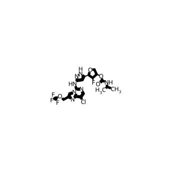 CC(C)NC(=O)O[C@@H]1CO[C@H](c2cc(Nc3ncc(Cl)c4nc(COC(F)(F)F)cn34)n[nH]2)[C@@H]1F